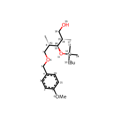 COc1ccc(COC[C@H](C)[C@H](O[Si](C)(C)C(C)(C)C)[C@@H](C)CO)cc1